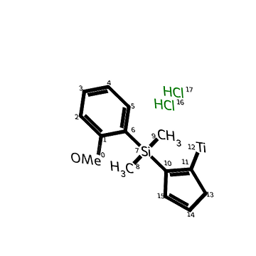 COc1ccccc1[Si](C)(C)C1=[C]([Ti])CC=C1.Cl.Cl